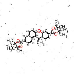 CC1c2ccc(B3OC(C)(C)C(C)(C)O3)cc2Oc2ccc3cc(B4OC(C)(C)C(C)(C)O4)ccc3c21